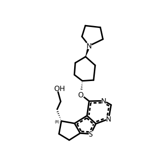 OCC[C@H]1CCc2sc3ncnc(O[C@H]4CC[C@H](N5CCCC5)CC4)c3c21